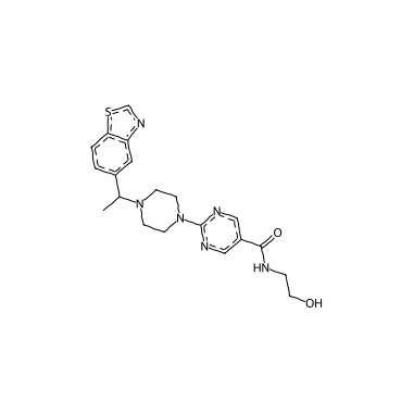 CC(c1ccc2scnc2c1)N1CCN(c2ncc(C(=O)NCCO)cn2)CC1